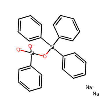 [Na+].[Na+].[O-][Si]([O-])(O[Si](c1ccccc1)(c1ccccc1)c1ccccc1)c1ccccc1